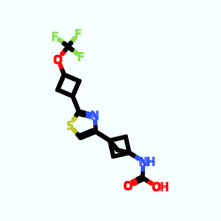 O=C(O)NC12CC(c3csc(C4CC(OC(F)(F)F)C4)n3)(C1)C2